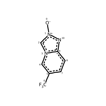 [O-][n+]1cn2cc(C(F)(F)F)ccc2n1